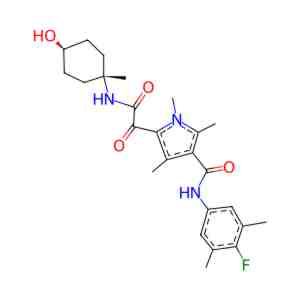 Cc1cc(NC(=O)c2c(C)c(C(=O)C(=O)N[C@]3(C)CC[C@@H](O)CC3)n(C)c2C)cc(C)c1F